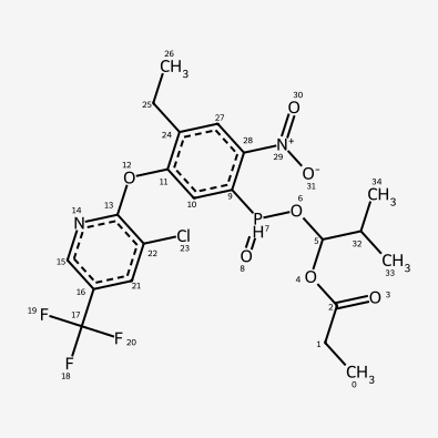 CCC(=O)OC(O[PH](=O)c1cc(Oc2ncc(C(F)(F)F)cc2Cl)c(CC)cc1[N+](=O)[O-])C(C)C